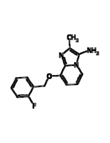 Cc1nc2c(OCc3ccccc3F)cccn2c1N